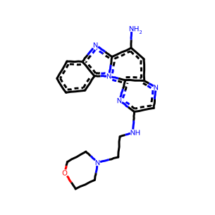 Nc1cc2ncc(NCCN3CCOCC3)nc2n2c1nc1ccccc12